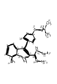 CC(C)c1cccc2c(-c3ccc(SN(C)C)cc3)c(/C(=N/N)NN)[nH]c12